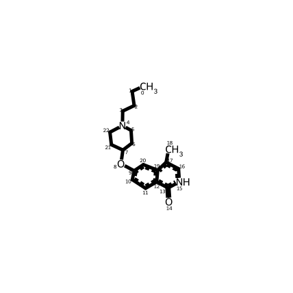 CCCCN1CCC(Oc2ccc3c(=O)[nH]cc(C)c3c2)CC1